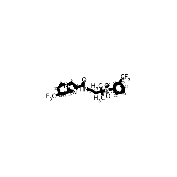 CC(C)(CCNC(=O)c1cn2ccc(C(F)(F)F)cc2n1)S(=O)(=O)c1cccc(C(F)(F)F)c1